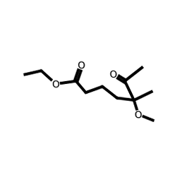 CCOC(=O)CCCC(C)(OC)C(C)=O